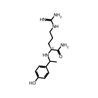 CC(N[C@@H](CCCNC(=N)N)C(N)=O)c1ccc(O)cc1